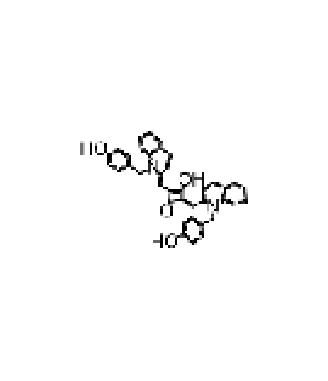 O=C1C(/C=C2\C=Cc3ccccc3N2Cc2ccc(O)cc2)=C(O)C/1=C\c1ccc2ccccc2[n+]1Cc1ccc(O)cc1